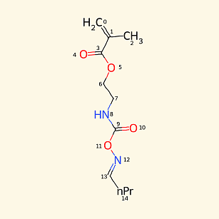 C=C(C)C(=O)OCCNC(=O)ON=CCCC